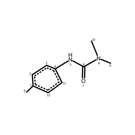 [CH2]c1ccc(NC(=O)N(C)C)cc1